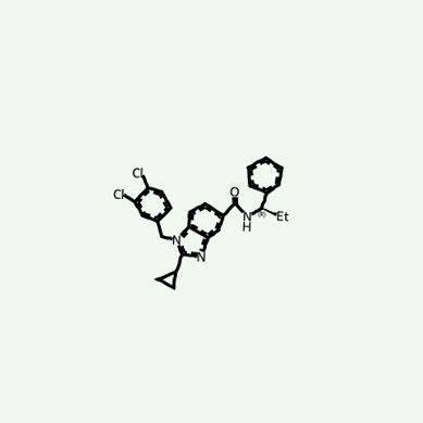 CC[C@@H](NC(=O)c1ccc2c(c1)nc(C1CC1)n2Cc1ccc(Cl)c(Cl)c1)c1ccccc1